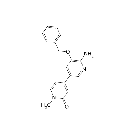 Cn1ccc(-c2cnc(N)c(OCc3ccccc3)c2)cc1=O